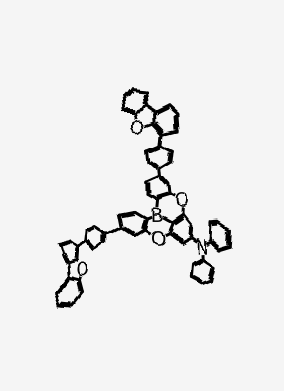 c1ccc(N(c2ccccc2)c2cc3c4c(c2)Oc2cc(-c5ccc(-c6cccc7c6oc6ccccc67)cc5)ccc2B4c2ccc(-c4ccc(-c5cccc6c5oc5ccccc56)cc4)cc2O3)cc1